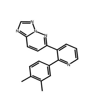 Cc1ccc(-c2ncccc2-c2ccc3ncnn3n2)cc1C